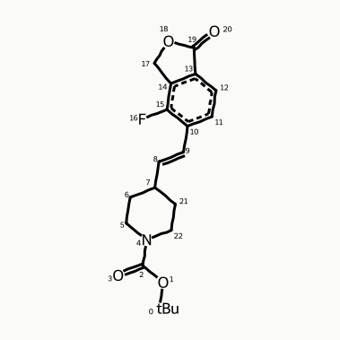 CC(C)(C)OC(=O)N1CCC(C=Cc2ccc3c(c2F)COC3=O)CC1